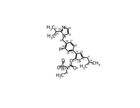 CCN(C(=O)Oc1sc(CC(C)C)cc1-c1ccc(Cn2ccnc2C(C)C)c(F)c1)[SH](=O)=O